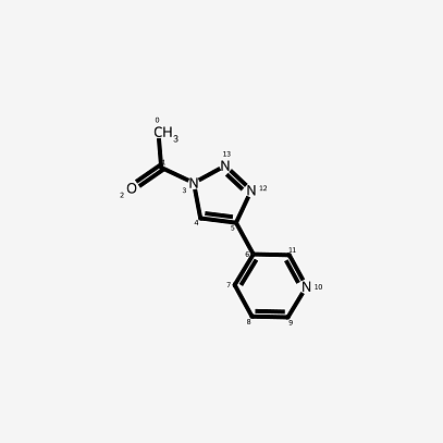 CC(=O)n1cc(-c2cccnc2)nn1